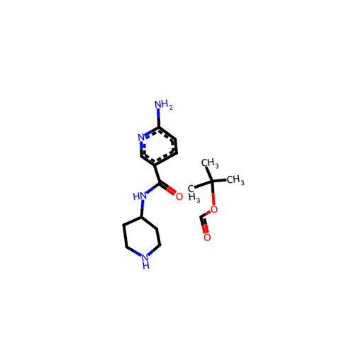 CC(C)(C)OC=O.Nc1ccc(C(=O)NC2CCNCC2)cn1